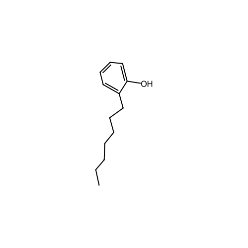 CCCCCCCc1ccccc1O